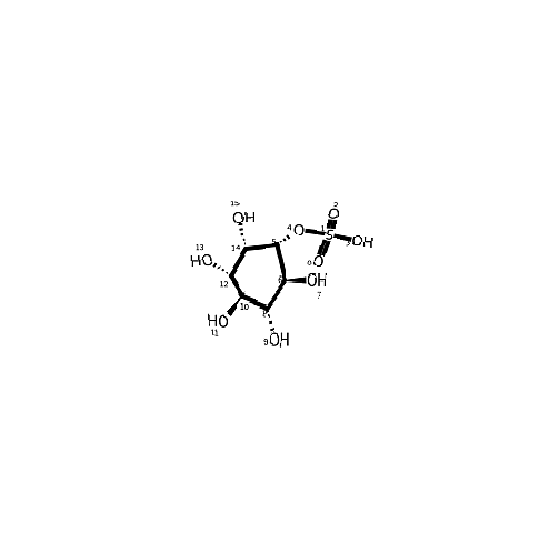 O=S(=O)(O)O[C@@H]1[C@@H](O)[C@H](O)[C@@H](O)[C@H](O)[C@@H]1O